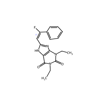 CCn1c(=O)c2[nH]c(/C=C(/F)c3ccccc3)nc2n(CC)c1=O